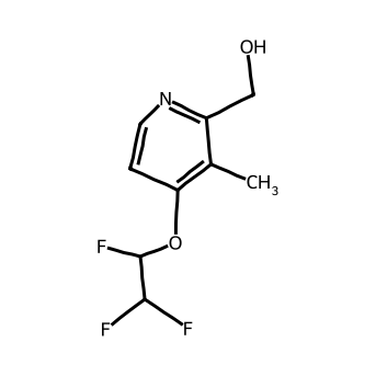 Cc1c(OC(F)C(F)F)ccnc1CO